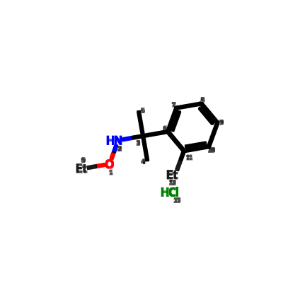 CCONC(C)(C)c1ccccc1CC.Cl